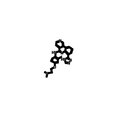 CN(C)CCOc1ccc(Nc2nc3c(-c4nnc[nH]4)cccc3c3cnccc23)c(I)c1